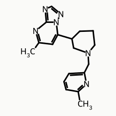 Cc1cccc(CN2CCCC(c3cc(C)nc4ncnn34)C2)n1